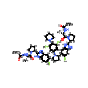 COC(=O)N[C@H](C(=O)N1CCC[C@H]1c1nc2cc([C@H]3CC[C@@H](c4cc5nc([C@@H]6CCCN6C(=O)[C@@H](NC(=O)OC)C(C)C)[nH]c5cc4F)N3c3cc(F)c(N4CCCCC4)c(F)c3)c(F)cc2[nH]1)C(C)C